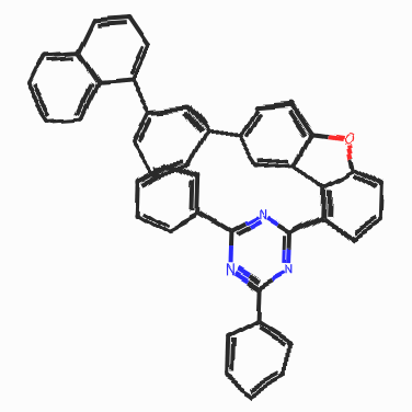 c1ccc(-c2nc(-c3ccccc3)nc(-c3cccc4oc5ccc(-c6cccc(-c7cccc8ccccc78)c6)cc5c34)n2)cc1